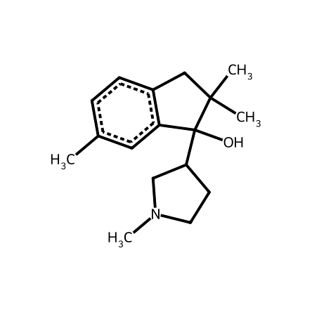 Cc1ccc2c(c1)C(O)(C1CCN(C)C1)C(C)(C)C2